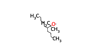 CCCCCC(CCCC)C(C)(C)[O]